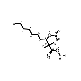 CCCCCCCC(O[SiH](C)C)C(C)(C)C(=O)O[SiH3]